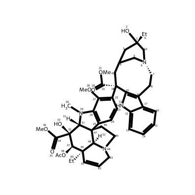 CC[C@]1(O)CC2C[N@@](CCc3c([nH]c4ccccc34)[C@@](C(=O)OC)(c3ccc4c(c3OC)N(C)[C@H]3[C@@](O)(C(=O)OC)[C@H](OC(C)=O)[C@]5(CC)C=CCN6CC[C@]43[C@@H]65)C2)C1